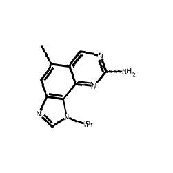 Cc1cc2ncn(C(C)C)c2c2nc(N)ncc12